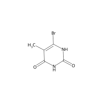 Cc1c(Br)[nH]c(=O)[nH]c1=O